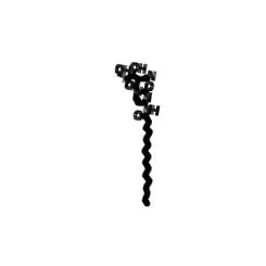 CCCCCCCCCCCCCCCC(=O)Nc1ccn([C@@H]2O[C@H](CO)[C@@H](O)C2C#N)c(=O)n1